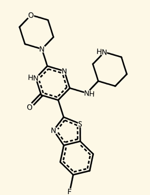 O=c1[nH]c(N2CCOCC2)nc(NC2CCCNC2)c1-c1nc2cc(F)ccc2s1